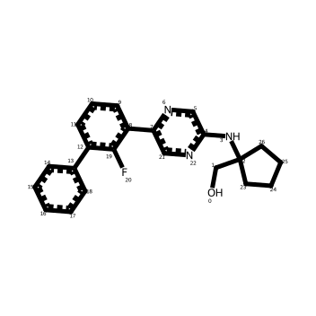 OCC1(Nc2cnc(-c3cccc(-c4ccccc4)c3F)cn2)CCCC1